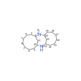 CN1C2CCCCCCCC(C2)NC2CCCCCCC1C2